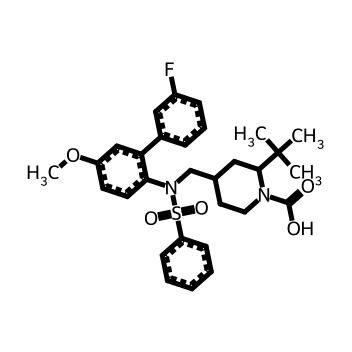 COc1ccc(N(CC2CCN(C(=O)O)C(C(C)(C)C)C2)S(=O)(=O)c2ccccc2)c(-c2cccc(F)c2)c1